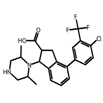 CC1CNCC(C)N1C1c2cccc(-c3ccc(Cl)c(C(F)(F)F)c3)c2CC1C(=O)O